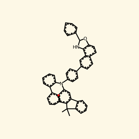 CC1(C)c2ccccc2-c2cc(N(c3ccc(-c4ccc5ccc6c(c5c4)NC(c4ccccc4)O6)cc3)c3ccccc3-c3ccccc3)ccc21